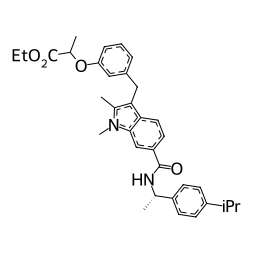 CCOC(=O)C(C)Oc1cccc(Cc2c(C)n(C)c3cc(C(=O)N[C@@H](C)c4ccc(C(C)C)cc4)ccc23)c1